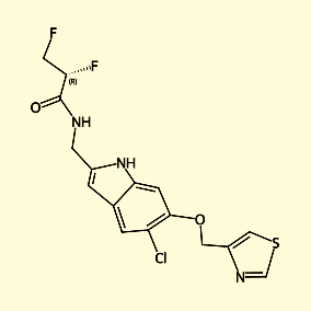 O=C(NCc1cc2cc(Cl)c(OCc3cscn3)cc2[nH]1)[C@@H](F)CF